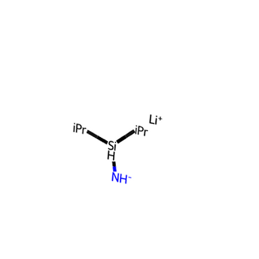 CC(C)[SiH]([NH-])C(C)C.[Li+]